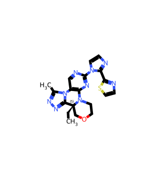 CC[C@]12COCCN1c1nc(-n3ccnc3-c3nccs3)ncc1-n1c(C)nnc12